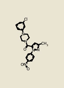 Cc1cc(C(=O)N2CCN(c3cccc(Cl)c3)CC2)n(-c2ccc([N+](=O)[O-])cc2)n1